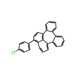 Clc1ccc(-c2ccc3c4c(cccc24)-c2ccccc2-c2ccccc2-3)cc1